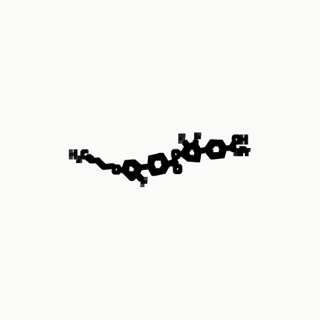 C=CCCCOc1ccc(-c2ccc(C(=O)Oc3ccc(-c4ccc(C(O)CCC)cc4)c(F)c3F)cc2)c(F)c1